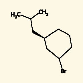 CC(C)C[C@H]1CCCC(Br)C1